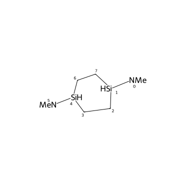 CN[SiH]1CC[SiH](NC)CC1